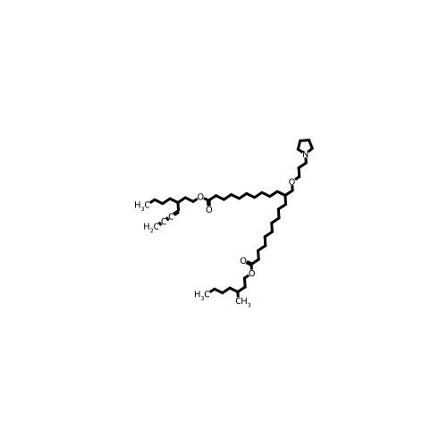 C=C=C=CC(CCCC)CCOC(=O)CCCCCCCCCC(CCCCCCCCCC(=O)OCCC(C)CCCC)COCCCN1CCCC1